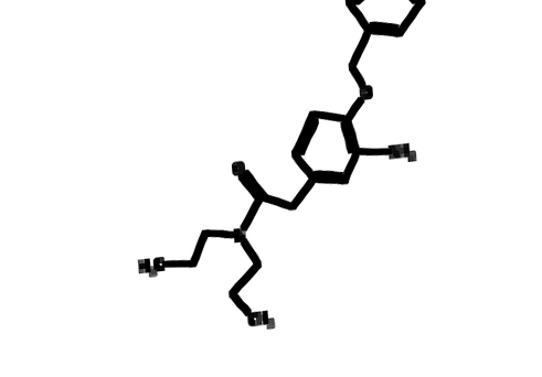 CCCN(CCC)C(=O)Cc1ccc(OCc2ccccc2)c(N)c1